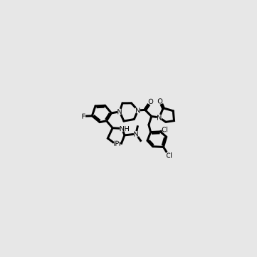 CC(C)CC(NC(C)N(C)C)c1cc(F)ccc1N1CCN(C(=O)C(Cc2ccc(Cl)cc2Cl)N2CCCC2=O)CC1